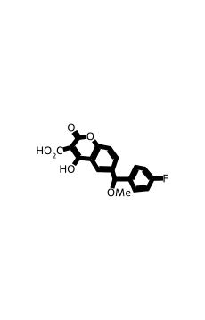 COC(c1ccc(F)cc1)c1ccc2oc(=O)c(C(=O)O)c(O)c2c1